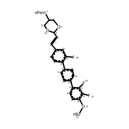 CCCCCC1COC(/C=C/c2ccc(-c3ccc(-c4ccc(OCCCC)c(F)c4F)cc3)c(F)c2)OC1